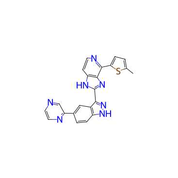 Cc1ccc(-c2nccc3[nH]c(-c4n[nH]c5ccc(-c6cnccn6)cc45)nc23)s1